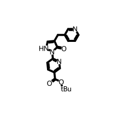 CC(C)(C)OC(=O)c1ccc(-n2[nH]cc(Cc3cccnc3)c2=O)nc1